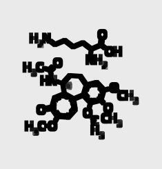 COc1cc2c(c(OC)c1OC)-c1ccc(OC)c(=O)cc1[C@@H](NC(C)=O)CC2.NCCCCC(N)C(=O)O